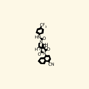 N#Cc1ccc(N2C(=O)[C@H]3[C@@H]4C[C@@H](CN4C(=O)Nc4ccc(C(F)(F)F)cc4)N3C2=O)c2ccccc12